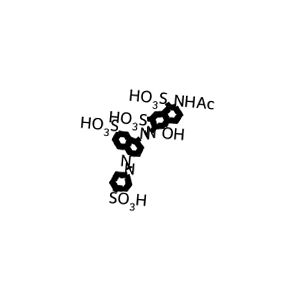 CC(=O)Nc1ccc2c(O)c(N=Nc3ccc(N=Nc4ccc(S(=O)(=O)O)cc4)c4ccc(S(=O)(=O)O)cc34)c(S(=O)(=O)O)cc2c1S(=O)(=O)O